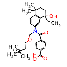 CCC1(O)CCC(C)(C)c2ccc(N(COCC[Si](C)(C)C)C(=O)c3ccc(C(=O)O)cc3)cc21